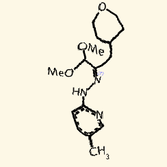 COC(OC)/C(CC1CCOCC1)=N\Nc1ccc(C)cn1